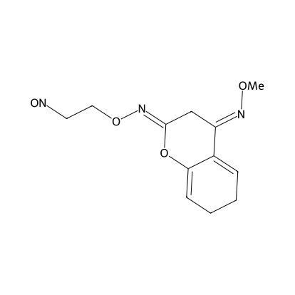 CO/N=C1\C/C(=N/OCCN=O)OC2=CCCC=C21